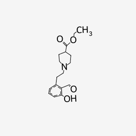 CCOC(=O)C1CCN(CCc2cccc(O)c2C=O)CC1